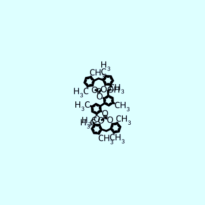 COc1cc(C)cc(-c2cc(C)cc(CO)c2OP2Oc3c(C)ccc(C)c3Cc3c(C)ccc(C)c3O2)c1OP1Oc2c(C)ccc(C)c2Cc2c(C)ccc(C)c2O1